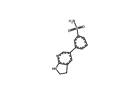 NS(=O)(=O)c1cccc(-c2cnc3c(c2)CCN3)c1